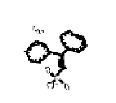 O=S(=O)([O-])C=C(c1ccccc1)c1ccccc1.[Na+]